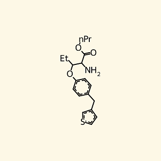 CCCOC(=O)C(N)C(CC)Oc1ccc(Cc2ccsc2)cc1